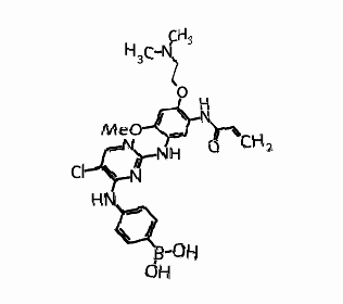 C=CC(=O)Nc1cc(Nc2ncc(Cl)c(Nc3ccc(B(O)O)cc3)n2)c(OC)cc1OCCN(C)C